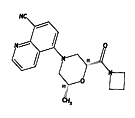 C[C@@H]1CN(c2ccc(C#N)c3ncccc23)C[C@H](C(=O)N2CCC2)O1